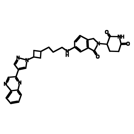 O=C1CCC(N2Cc3ccc(NCCCC4CC(n5cc(-c6cnc7ccccc7n6)cn5)C4)cc3C2=O)C(=O)N1